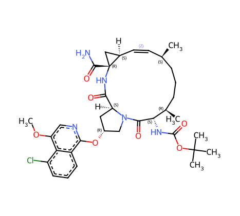 COc1cnc(O[C@@H]2C[C@H]3C(=O)N[C@]4(C(N)=O)C[C@H]4/C=C\[C@@H](C)CCC[C@@H](C)[C@H](NC(=O)OC(C)(C)C)C(=O)N3C2)c2cccc(Cl)c12